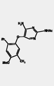 COc1cc(C(C)C)c(Oc2cnc(NC(C)=O)nc2N)cc1C